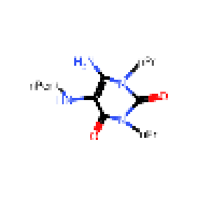 CCCCCNc1c(N)n(CCC)c(=O)n(CCC)c1=O